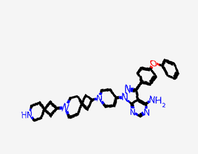 Nc1ncnc2c1c(C1C=CC(Oc3ccccc3)=CC1)nn2C1CCN(C2CC3(CCN(C4CC5(CCNCC5)C4)CC3)C2)CC1